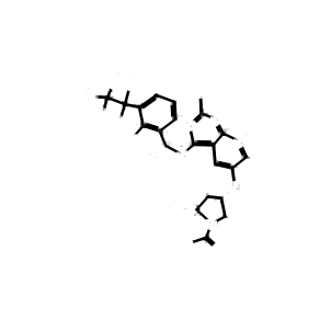 CC(=O)N1C[C@@H](Nc2cnc3nc(C)nc(N[C@H](C)c4cccc(C(F)(F)C(C)(C)O)c4F)c3c2)C[C@H]1C